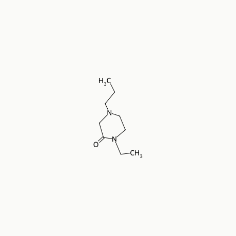 CCCN1CCN(CC)C(=O)C1